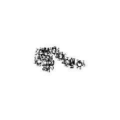 c1ccc(-c2nc3cc(-c4ccc(-c5cccc(-c6nc7ccccc7c7c(-c8ccccc8)c8c(cc67)oc6ccccc68)c5)cc4)ccc3s2)cc1